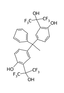 CC(c1ccccc1)(c1ccc(O)c(C(O)(C(F)(F)F)C(F)(F)F)c1)c1ccc(O)c(C(O)(C(F)(F)F)C(F)(F)F)c1